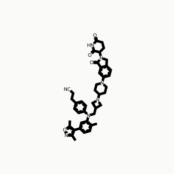 Cc1ccc(-c2c(C)noc2C)cc1N(CC1CN(C2CCN(c3ccc4c(c3)C(=O)N(C3CCC(=O)NC3=O)C4)CC2)C1)c1ccc(CCC#N)cc1